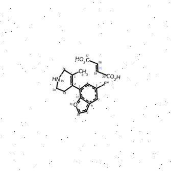 CC1=C(c2cc(F)cc3ccoc23)CCNC1.O=C(O)/C=C/C(=O)O